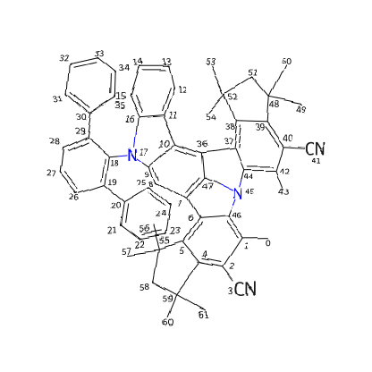 Cc1c(C#N)c2c(c3c4cc5c(c6ccccc6n5-c5c(-c6ccccc6)cccc5-c5ccccc5)c5c6c7c(c(C#N)c(C)c6n(c13)c45)C(C)(C)CC7(C)C)C(C)(C)CC2(C)C